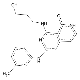 Cc1ccnc(Nc2cc3cc[nH]c(=O)c3c(NCCCO)n2)c1